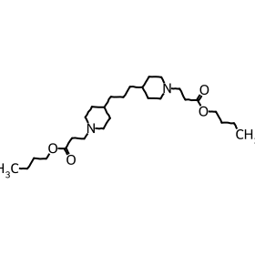 CCCCOC(=O)CCN1CCC(CCCC2CCN(CCC(=O)OCCCC)CC2)CC1